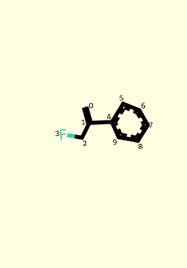 C=C(CF)c1ccccc1